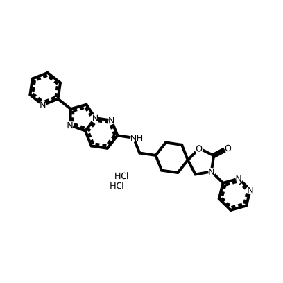 Cl.Cl.O=C1OC2(CCC(CNc3ccc4nc(-c5ccccn5)cn4n3)CC2)CN1c1cccnn1